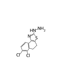 NNc1nc2c(s1)CCc1c-2ccc(Cl)c1Cl